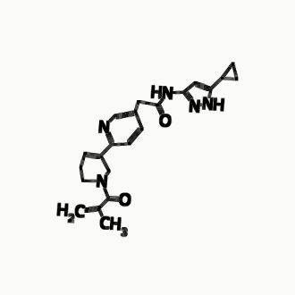 C=C(C)C(=O)N1CCC=C(c2ccc(CC(=O)Nc3cc(C4CC4)[nH]n3)cn2)C1